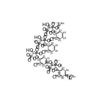 O=P([O-])([O-])C(O)P(=O)([O-])Oc1ccccc1Cl.O=P([O-])([O-])C(O)P(=O)([O-])Oc1ccccc1Cl.O=P([O-])([O-])C(O)P(=O)([O-])Oc1ccccc1Cl.O=P([O-])([O-])C(O)P(=O)([O-])Oc1ccccc1Cl.[Ti+4].[Ti+4].[Ti+4]